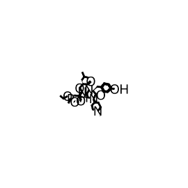 CCOP(C)(=O)CC(=O)N1O[C@H](CC(C)C)C(=O)N2[C@@H]1CN(C1CCN(C)CC1)C(=O)[C@@H]2Cc1ccc(O)cc1